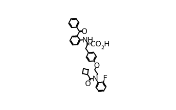 O=C(c1ccccc1)c1ccccc1N[C@@H](Cc1ccc(OCCN(C(=O)C2CCC2)c2ccccc2F)cc1)C(=O)O